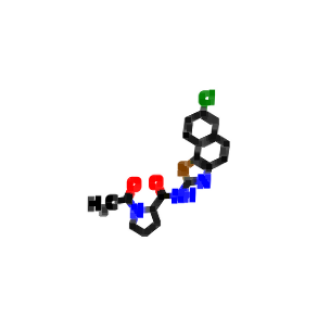 CC(=O)N1CCCC1C(=O)Nc1nc2ccc3cc(Cl)ccc3c2s1